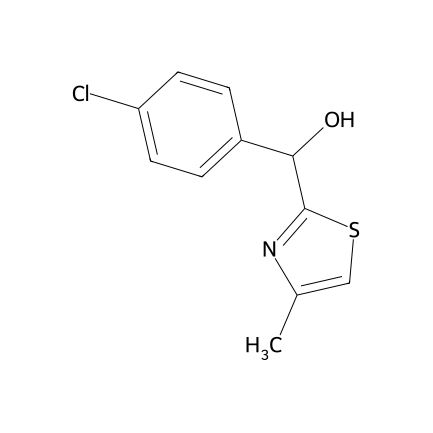 Cc1csc(C(O)c2ccc(Cl)cc2)n1